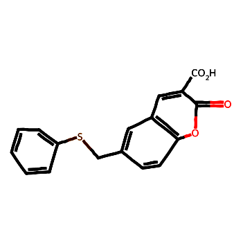 O=C(O)c1cc2cc(CSc3ccccc3)ccc2oc1=O